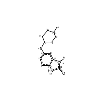 CN1CCC(Sc2ccc3[nH]c(=O)n(C)c3c2)CC1